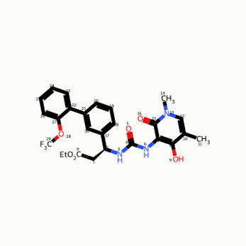 CCOC(=O)C[C@H](NC(=O)Nc1c(O)c(C)cn(C)c1=O)c1cccc(-c2ccccc2OC(F)(F)F)c1